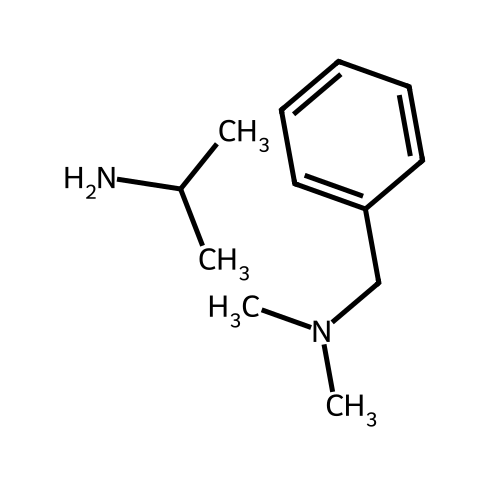 CC(C)N.CN(C)Cc1ccccc1